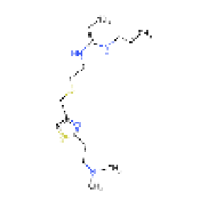 C=CCNC(=C[N+](=O)[O-])NCCSCc1csc(CCN(C)C)n1